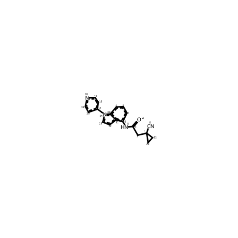 N#CC1(CC(=O)Nc2cccc3c2ccn3-c2ccncc2)CC1